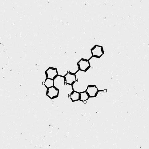 Clc1ccc2c3c(oc2c1)CN=C3c1nc(-c2ccc(-c3ccccc3)cc2)nc(-c2cccc3oc4ccccc4c23)n1